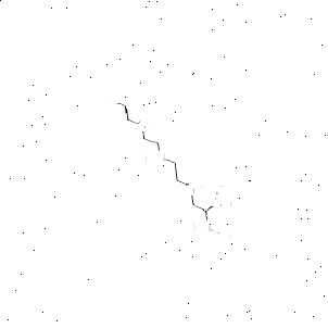 CC(C)NC(CNCCNCCNCCO)NC(C)C